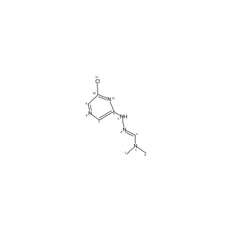 CN(C)C=NNc1cncc(Cl)n1